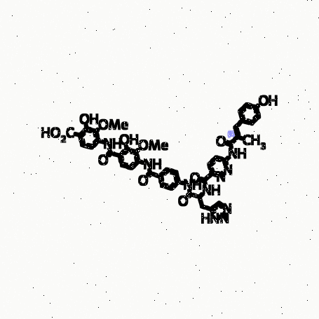 COc1c(NC(=O)c2ccc(NC(=O)c3ccc(NC(=O)C(Cc4cnn[nH]4)NC(=O)c4ccc(NC(=O)/C(C)=C/c5ccc(O)cc5)nn4)cc3)c(OC)c2O)ccc(C(=O)O)c1O